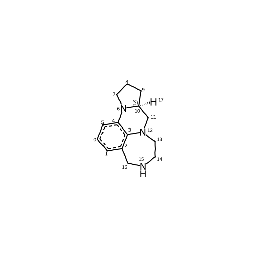 c1cc2c3c(c1)N1CCC[C@H]1CN3CCNC2